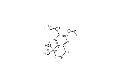 COc1cc2c(cc1OC)C(O)(O)CCC2